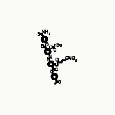 CCCCC(=O)Oc1cc(/N=N/c2ccc(C(=O)Oc3ccc(C(C)=S)cc3)c(OC(=O)CCCO[N+](=O)[O-])c2)ccc1C(=O)Oc1ccc(C(N)=S)cc1